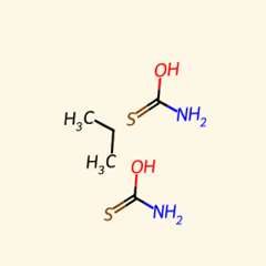 CCC.NC(O)=S.NC(O)=S